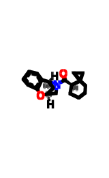 O=C([C@@H]1CCCCC12CC2)N1C[C@@H]2C[C@H]1c1ccccc1O2